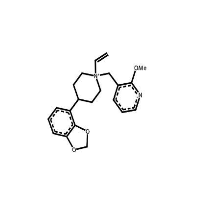 C=C[N+]1(Cc2cccnc2OC)CCC(c2cccc3c2OCO3)CC1